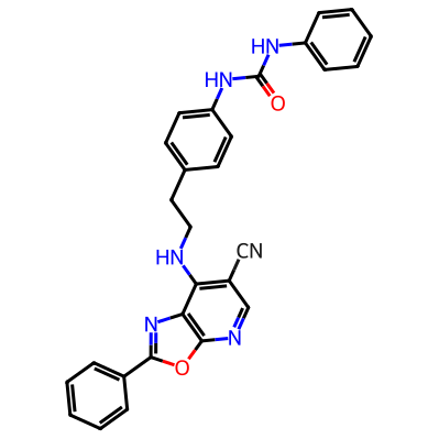 N#Cc1cnc2oc(-c3ccccc3)nc2c1NCCc1ccc(NC(=O)Nc2ccccc2)cc1